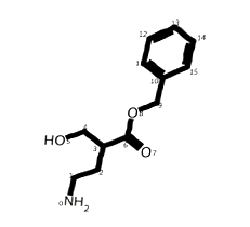 NCCC(CO)C(=O)OCc1ccccc1